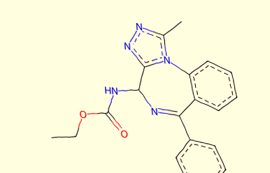 CCOC(=O)NC1N=C(c2ccccc2)c2ccccc2-n2c(C)nnc21